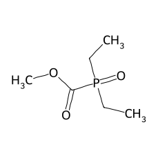 CCP(=O)(CC)C(=O)OC